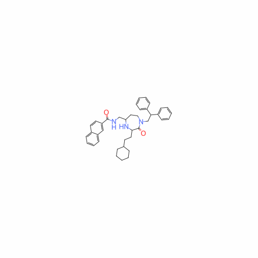 O=C(NCC1CCN(CC(c2ccccc2)c2ccccc2)C(=O)C(CCC2CCCCC2)N1)c1ccc2ccccc2c1